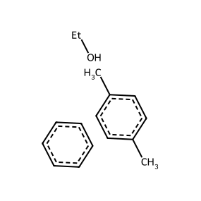 CCO.Cc1ccc(C)cc1.c1ccccc1